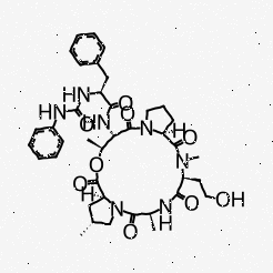 C[C@@H]1C[C@H]2C(=O)O[C@@H](C)[C@H](NC(=O)[C@H](Cc3ccccc3)NC(=O)Nc3ccccc3)C(=O)N3CCC[C@H]3C(=O)N(C)[C@@H](CCO)C(=O)N[C@@H](C)C(=O)N2C1